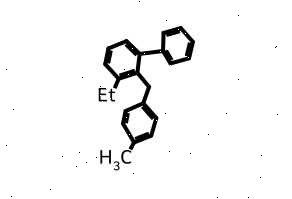 CCc1cccc(-c2ccccc2)c1Cc1ccc(C)cc1